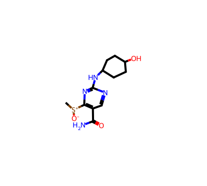 C[S+]([O-])c1nc(NC2CCC(O)CC2)ncc1C(N)=O